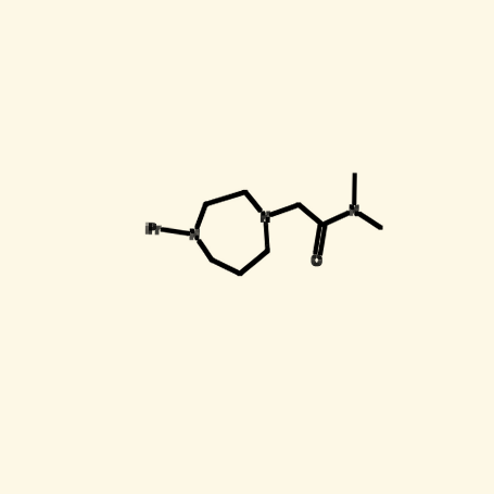 CC(C)N1CCCN(CC(=O)N(C)C)CC1